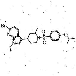 CCn1cc(C2CCN(S(=O)(=O)c3ccc(OC(C)C)cc3)C(C)C2)c2ccc(Br)nc21